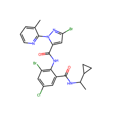 Cc1cccnc1-n1nc(Br)cc1C(=O)Nc1c(Br)cc(Cl)cc1C(=O)NC(C)C1CC1